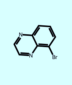 Brc1cccc2nccnc12